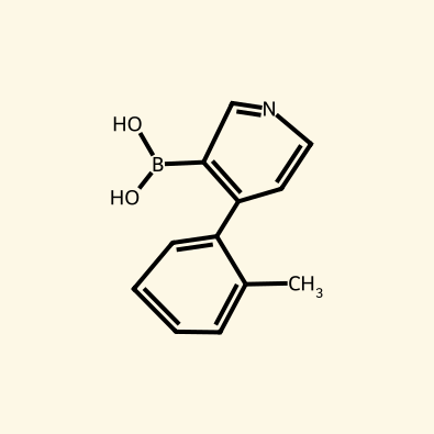 Cc1ccccc1-c1ccncc1B(O)O